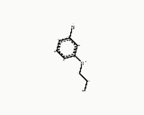 CCCOc1cc[c]c(O)c1